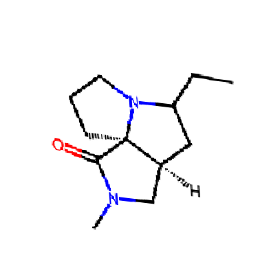 CCC1C[C@H]2CN(C)C(=O)[C@]23CCCN13